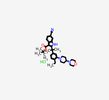 CCc1ccc(C(C)(C)c2[nH]c3cc(C#N)ccc3c2C(=O)OC(C)(C)C)cc1N1CCC(N2CCOCC2)CC1.Cl